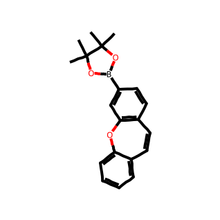 CC1(C)OB(c2ccc3c(c2)Oc2ccccc2C=C3)OC1(C)C